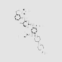 C=CC(=O)Nc1cc(Nc2ncc(Cl)c(Nc3cccc4c3N(S(C)(=O)=O)CC4)n2)c(OC)cc1N1CCC(N2CCN(C)CC2)CC1